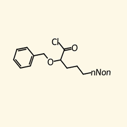 CCCCCCCCCCCCC(OCc1ccccc1)C(=O)Cl